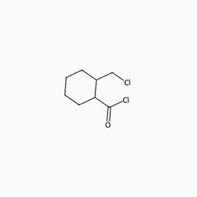 O=C(Cl)C1CCCCC1CCl